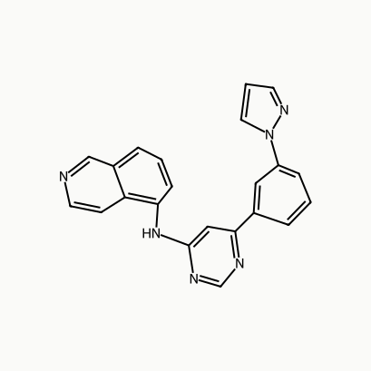 c1cc(-c2cc(Nc3cccc4cnccc34)ncn2)cc(-n2cccn2)c1